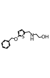 OCCNCc1ccc(OCc2ccccc2)s1